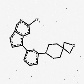 FC(F)(F)c1cn2c(-c3nccc(N4CCC5(CC4)COC5)n3)cnc2cn1